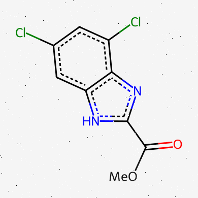 COC(=O)c1nc2c(Cl)cc(Cl)cc2[nH]1